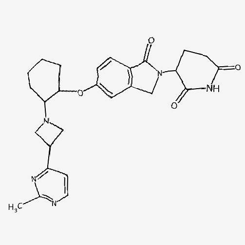 Cc1nccc(C2CN(C3CCCCC3Oc3ccc4c(c3)CN(C3CCC(=O)NC3=O)C4=O)C2)n1